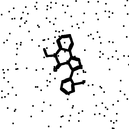 CCn1c(=O)n2c(-c3ccccc3F)ncc2c2ccccc21